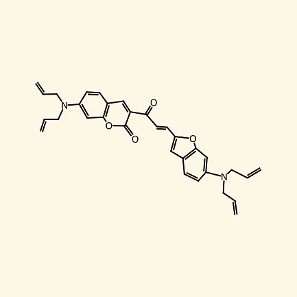 C=CCN(CC=C)c1ccc2cc(/C=C/C(=O)c3cc4ccc(N(CC=C)CC=C)cc4oc3=O)oc2c1